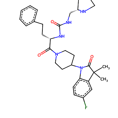 CC1(C)C(=O)N(C2CCN(C(=O)[C@H](CCc3ccccc3)NC(=O)NC[C@@H]3CCCN3)CC2)c2ccc(F)cc21